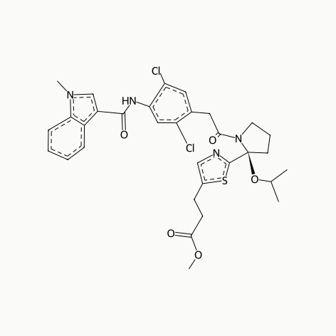 COC(=O)CCc1cnc([C@@]2(OC(C)C)CCCN2C(=O)Cc2cc(Cl)c(NC(=O)c3cn(C)c4ccccc34)cc2Cl)s1